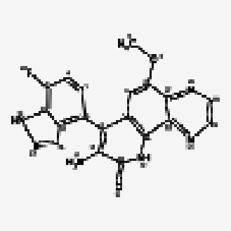 COc1cc2c(-c3ccc(F)c4[nH]ncc34)c(N)c(=O)[nH]c2c2nccnc12